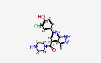 Cc1n[nH]c2nc(-c3ccc(O)c(Cl)c3)cc(C(=O)N3CCNCC3)c12